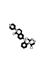 O=C1c2ccc(Oc3ccccc3N3C(Cl)=CN=NC3Cl)cc2CCN1c1ccncc1